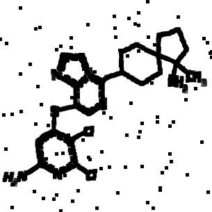 CC1(N)CCCC12CCC(c1ncc(Sc3cc(N)nc(Cl)c3Cl)c3nccn13)CC2